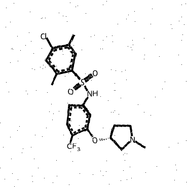 Cc1cc(S(=O)(=O)Nc2ccc(C(F)(F)F)c(O[C@@H]3CCN(C)C3)c2)c(C)cc1Cl